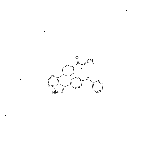 C=CC(=O)N1CCC(c2ncnc3[nH]cc(-c4ccc(Oc5ccccc5)cc4)c23)CC1